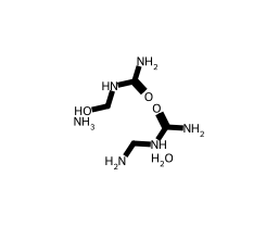 N.NC(=O)NCO.NCNC(N)=O.O